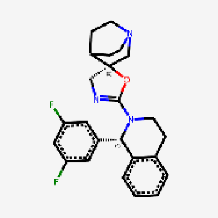 Fc1cc(F)cc([C@H]2c3ccccc3CCN2C2=NC[C@]3(CN4CCC3CC4)O2)c1